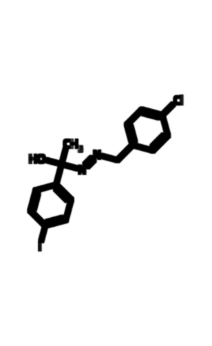 CC(O)(N=NCc1ccc(Cl)cc1)c1ccc(I)cc1